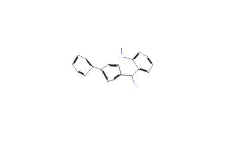 CNc1ccccc1C(N)c1ccc(-c2ccccc2)cc1